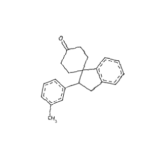 Cc1cccc(C2Cc3ccccc3C23CCC(=O)CC3)c1